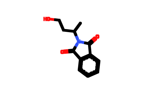 CC(CCO)N1C(=O)c2ccccc2C1=O